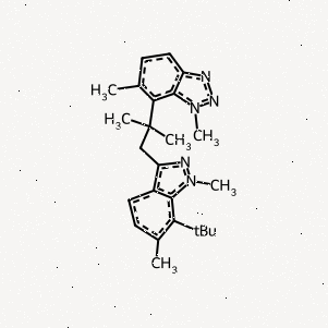 Cc1ccc2nnn(C)c2c1C(C)(C)Cc1nn(C)c2c(C(C)(C)C)c(C)ccc12